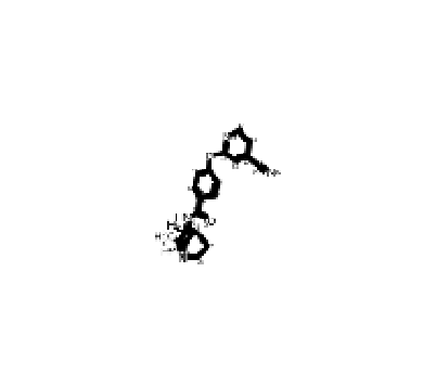 C[C@H]1[C@H](NC(=O)c2ccc(Oc3cc(C#N)ccn3)cc2)C2CCN1CC2